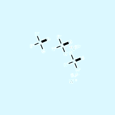 O=P([O-])([O-])[O-].O=P([O-])([O-])[O-].O=P([O-])([O-])[O-].[Ga+3].[OH4+2].[W+4]